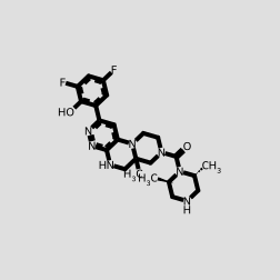 C[C@@H]1CNC[C@@H](C)N1C(=O)N1CCN2c3cc(-c4cc(F)cc(F)c4O)nnc3NCC2(C)C1